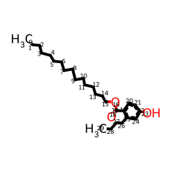 CCCCCCCCCCCCCCCCOC(=O)c1ccc(O)cc1CCCC